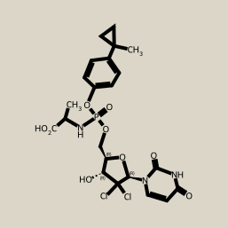 CC(NP(=O)(OC[C@H]1O[C@@H](n2ccc(=O)[nH]c2=O)C(Cl)(Cl)[C@@H]1O)Oc1ccc(C2(C)CC2)cc1)C(=O)O